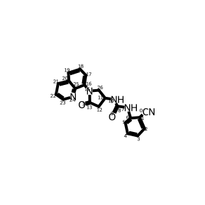 N#Cc1ccccc1NC(=O)NC1CC(=O)N(c2cccc3cccnc23)C1